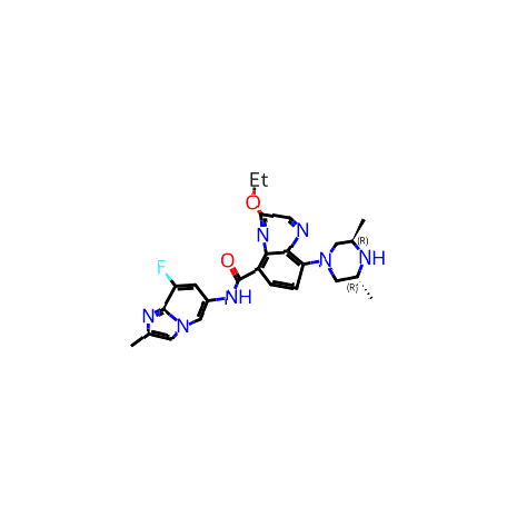 CCOc1cnc2c(N3C[C@@H](C)N[C@H](C)C3)ccc(C(=O)Nc3cc(F)c4nc(C)cn4c3)c2n1